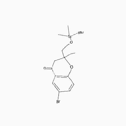 CC1(CO[Si](C)(C)C(C)(C)C)CC(=O)c2cc(Br)ccc2O1